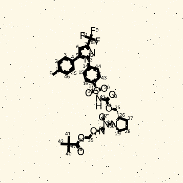 Cc1ccc(-c2cc(C(F)(F)F)nn2-c2ccc(S(=O)(=O)NC(=O)OC[C@@H]3CCCN3/[N+]([O-])=N/OCOC(=O)C(C)(C)C)cc2)cc1